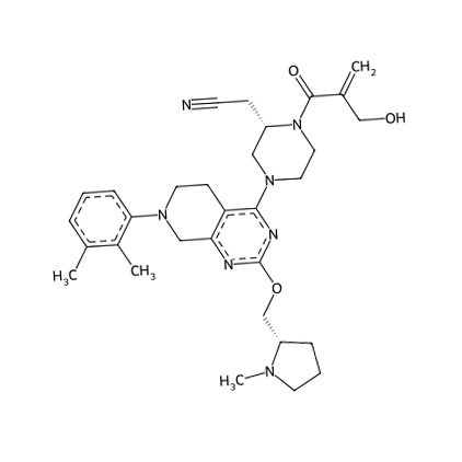 C=C(CO)C(=O)N1CCN(c2nc(OC[C@@H]3CCCN3C)nc3c2CCN(c2cccc(C)c2C)C3)C[C@@H]1CC#N